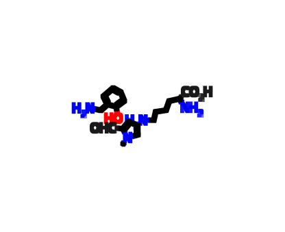 Cn1cccc1C=O.NCCCC[C@H](N)C(=O)O.NCc1ccccc1O